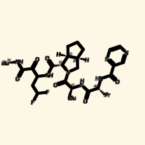 CC[C@H](C)NC(=O)C(=O)C(CC(F)F)NC(=O)[C@@H]1[C@H]2CCC[C@H]2CN1C(=O)[C@@H](NC(=O)[C@H](NC(=O)c1cnccn1)C(C)C)C(C)(C)C